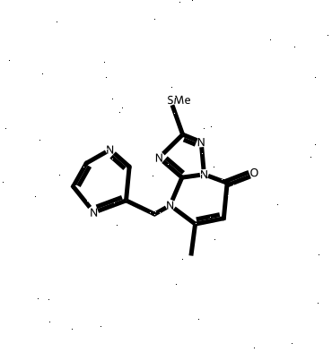 CSc1nc2n(Cc3cnccn3)c(C)cc(=O)n2n1